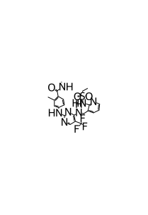 CCS(=O)(=O)Nc1ncccc1CNc1nc(Nc2ccc(C(=O)NC)c(C)c2)ncc1C(F)(F)F